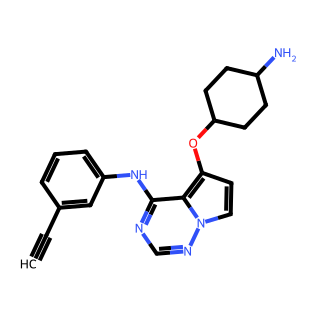 C#Cc1cccc(Nc2ncnn3ccc(OC4CCC(N)CC4)c23)c1